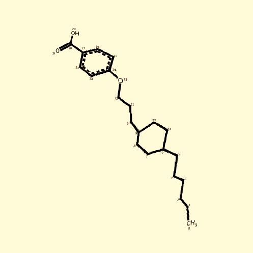 CCCCCCC1CCC(CCCOc2ccc(C(=O)O)cc2)CC1